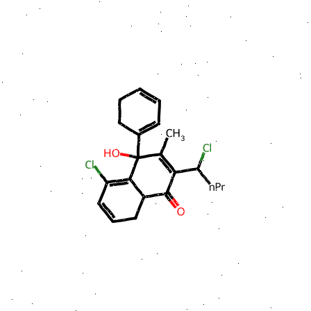 CCCC(Cl)C1=C(C)C(O)(C2=CC=CCC2)C2=C(Cl)C=CCC2C1=O